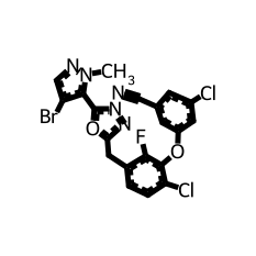 Cn1ncc(Br)c1-c1nnc(Cc2ccc(Cl)c(Oc3cc(Cl)cc(C#N)c3)c2F)o1